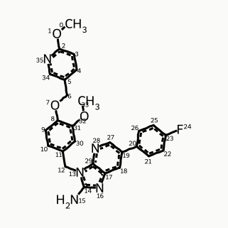 COc1ccc(COc2ccc(Cn3c(N)nc4cc(-c5ccc(F)cc5)cnc43)cc2OC)cn1